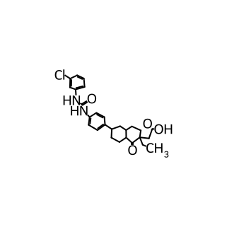 CCC1(CC(=O)O)CCC2CC(c3ccc(NC(=O)Nc4cccc(Cl)c4)cc3)CCC2C1=O